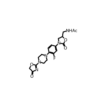 CC(=O)NCC1CN(c2ccc(N3CCN(C4=NC(=O)CO4)CC3)c(F)c2)C(=O)O1